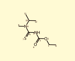 CCOC(=O)NC(=S)N(C)C(C)C